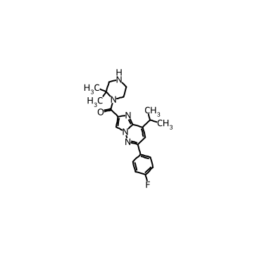 CC(C)c1cc(-c2ccc(F)cc2)nn2cc(C(=O)N3CCNCC3(C)C)nc12